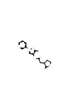 CCN(C(=O)CC1CCNC1=O)c1cn(-c2cccnc2)nc1Cl